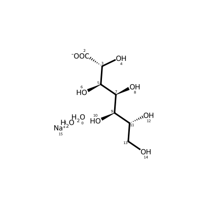 O.O.O=C([O-])[C@H](O)[C@H](O)[C@@H](O)[C@H](O)[C@H](O)CO.[Na+]